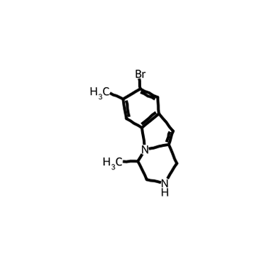 Cc1cc2c(cc1Br)cc1n2C(C)CNC1